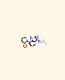 NC(=O)c1cccc(C2CCCCC2=O)c1N